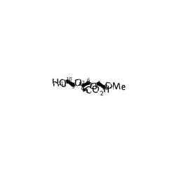 CC(=O)O.COCCOCCOCCO